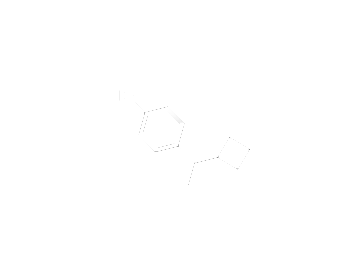 CC(c1ccc(O)cc1)C1CCC1